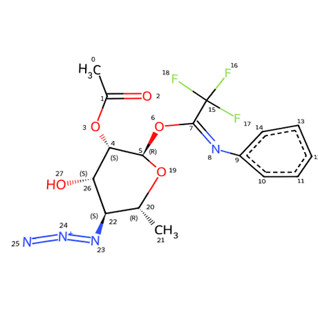 CC(=O)O[C@@H]1[C@@H](OC(=Nc2ccccc2)C(F)(F)F)O[C@H](C)[C@@H](N=[N+]=[N-])[C@@H]1O